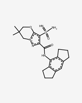 CC1(C)COc2c(S(=N)(N)=O)c(C(=O)Nc3c4c(cc5c3CCC5)CCC4)nn2C1